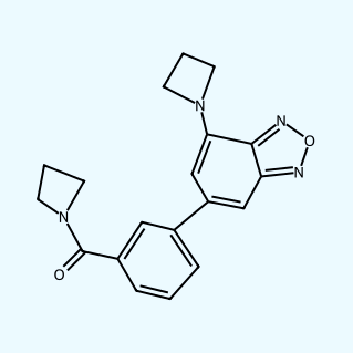 O=C(c1cccc(-c2cc(N3CCC3)c3nonc3c2)c1)N1CCC1